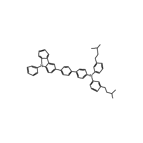 CC(C)CCc1cccc(N(c2ccc(-c3ccc(-c4ccc5c(c4)c4ccccc4n5-c4ccccc4)cc3)cc2)c2cccc(CCC(C)C)c2)c1